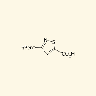 CCCCCc1cc(C(=O)O)sn1